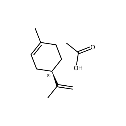 C=C(C)[C@H]1CC=C(C)CC1.CC(=O)O